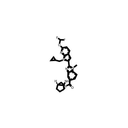 Cn1c(-c2cc3ccc(OC(F)F)nc3n2CC2CC2)nc2cc(C(=O)N3C[C@H]4CCC3C4N)ccc21